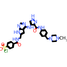 CN1CCN(Cc2ccc(NC(=O)c3n[nH]cc3Nc3ncnc4[nH]c(CNC(=O)c5ccc(S(=O)(=O)Cl)cc5)cc34)cc2)CC1